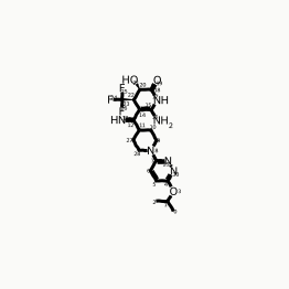 CC(C)Oc1ccc(N2CCC(C(=N)C3=C(N)NC(=O)[C@H](O)[C@@H]3C(F)(F)F)CC2)nn1